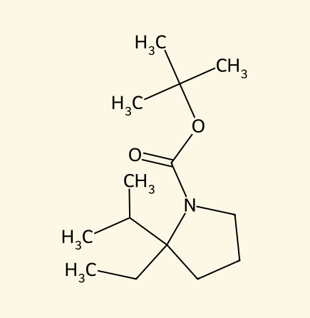 CCC1(C(C)C)CCCN1C(=O)OC(C)(C)C